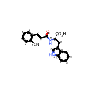 N#Cc1ccccc1/C=C/C(=O)N[C@@H](Cc1c[nH]c2ccccc12)C(=O)O